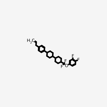 C=CCc1ccc(C2CCC(C3CCC(C(F)(F)Oc4ccc(F)c(F)c4)CC3)CC2)cc1